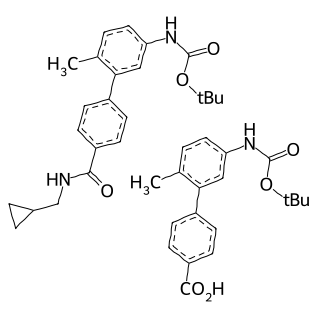 Cc1ccc(NC(=O)OC(C)(C)C)cc1-c1ccc(C(=O)NCC2CC2)cc1.Cc1ccc(NC(=O)OC(C)(C)C)cc1-c1ccc(C(=O)O)cc1